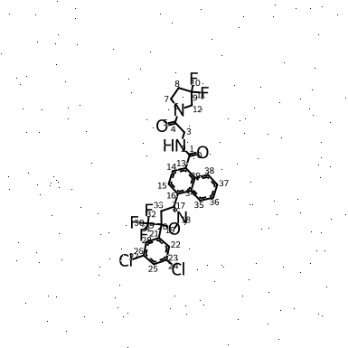 O=C(NCC(=O)N1CCC(F)(F)C1)c1ccc(C2=NOC(c3cc(Cl)cc(Cl)c3)(C(F)(F)F)C2)c2ccccc12